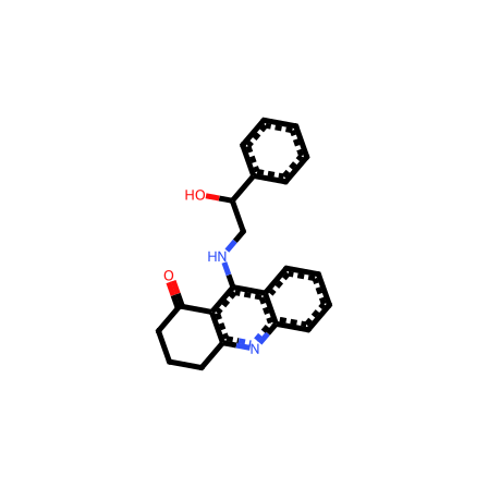 O=C1CCCc2nc3ccccc3c(NCC(O)c3ccccc3)c21